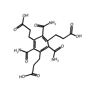 NC(=O)c1c(CCC(=O)O)c(C(N)=O)c(CCC(=O)O)c(C(N)=O)c1CCC(=O)O